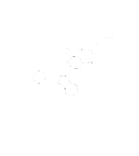 Nc1nc(-c2nn(Cc3ccccc3F)c3c(F)cccc23)nc(N)c1NC(=O)OCCCl